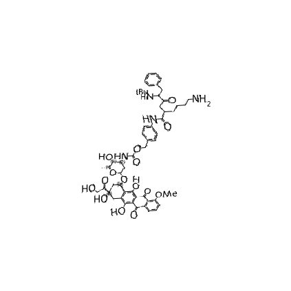 COc1cccc2c1C(=O)c1c(O)c3c(c(O)c1C2=O)C[C@](O)(C(=O)CO)C[C@H]3OC1C[C@@H](NC(=O)OCc2ccc(NC(=O)C(CCCCN)CC(=O)C(Cc3ccccc3)NC(C)(C)C)cc2)[C@@H](O)[C@@H](C)O1